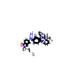 CN1Cc2cc(Nc3ccc(N4CCCCC4)c(N(C)C)c3)ccc2C1=O